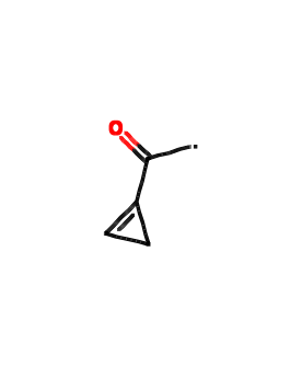 [CH2]C(=O)C1=CC1